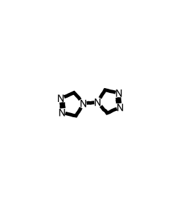 C1N=NCN1N1CN=NC1